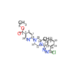 CCOC(=O)c1ccc(N2CCN(c3nnc(Cl)c4ccccc34)C(C)C2)nc1